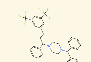 FC(F)(F)c1cc(C[CH]C(c2ccccc2)N2CCN(C(c3ccccc3)c3ccccc3)CC2)cc(C(F)(F)F)c1